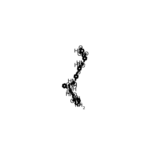 NC=C(C(=O)NCC(=O)NCC(=O)N[C@@H](Cc1ccccc1)C(=O)NCC(=O)NCc1ccc(COc2ccc(NC(=O)NCc3ccc4c(c3)CN(C3CCC(=O)NC3=O)C4=O)cc2)cc1)N1C(=O)C=CC1=O